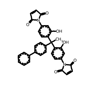 CC(c1ccc(-c2ccccc2)cc1)(c1ccc(N2C(=O)C=CC2=O)cc1O)c1ccc(N2C(=O)C=CC2=O)cc1O